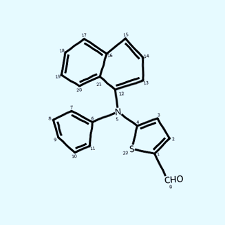 O=Cc1ccc(N(c2ccccc2)c2cccc3ccccc23)s1